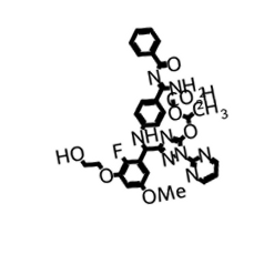 COc1cc(OCCO)c(F)c(C(Nc2ccc(C(N)=NC(=O)c3ccccc3)cc2)c2nc(OC(C)OC(=O)O)n(-c3ncccn3)n2)c1